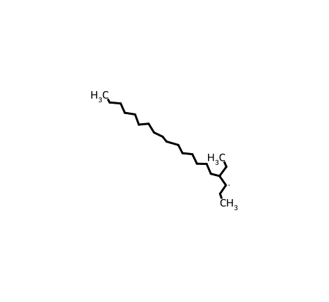 CC[CH]C(CC)CCCCCCCCCCCCCCCC